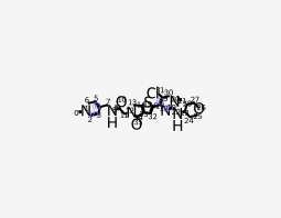 C=N/C=C\C(=C/C)CNC(=O)CN1Cc2sc(C(/N=C(\N=C)NC3CCOCC3)=C(/C)Cl)cc2C1=O